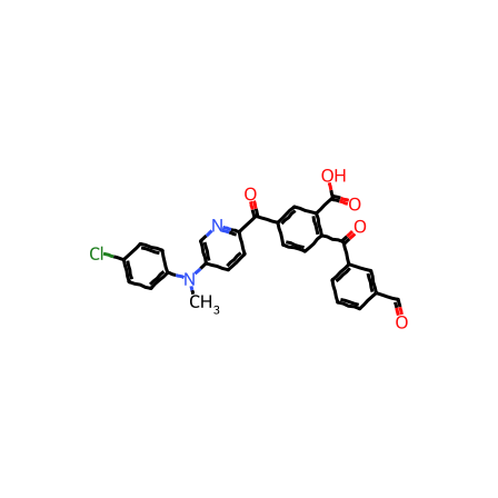 CN(c1ccc(Cl)cc1)c1ccc(C(=O)c2ccc(C(=O)c3cccc(C=O)c3)c(C(=O)O)c2)nc1